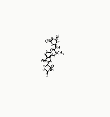 CN(Cc1cccc2c1CN(C1CCC(=O)NC1=O)C2=O)C(=O)NC1C=C(Cl)C=C(Cl)C1